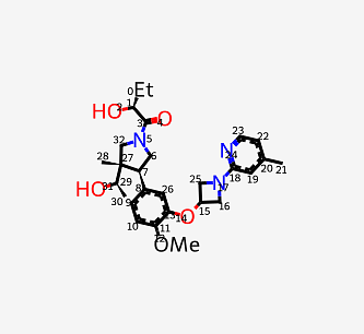 CC[C@H](O)C(=O)N1C[C@@H](c2ccc(OC)c(OC3CN(c4cc(C)ccn4)C3)c2)[C@](C)([C@@H](C)O)C1